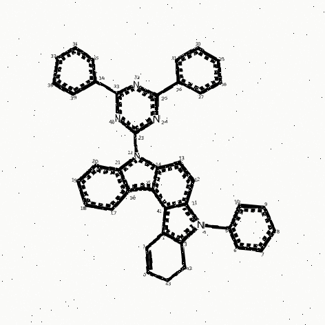 C1=Cc2c(n(-c3ccccc3)c3ccc4c(c5ccccc5n4-c4nc(-c5ccccc5)nc(-c5ccccc5)n4)c23)CC1